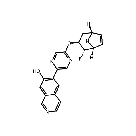 Oc1cc2cnccc2cc1-c1cnc(O[C@H]2C[C@@H]3C=C[C@@H](N3)[C@@H]2F)cn1